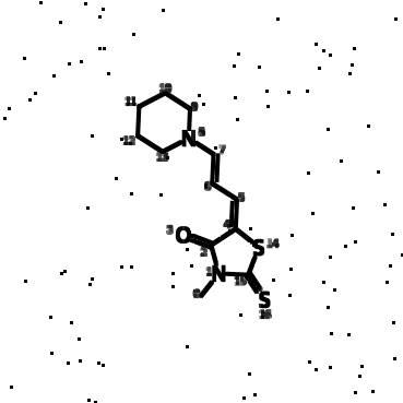 CN1C(=O)/C(=C\C=C\N2CCCCC2)SC1=S